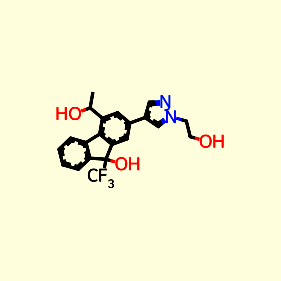 CC(O)c1cc(-c2cnn(CCO)c2)cc2c1-c1ccccc1C2(O)C(F)(F)F